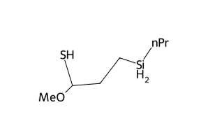 CCC[SiH2]CCC(S)OC